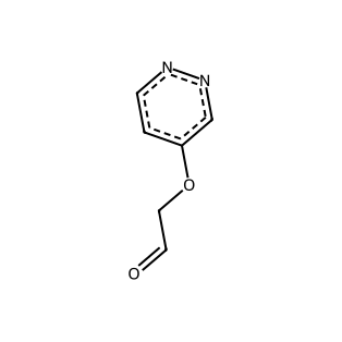 O=CCOc1ccnnc1